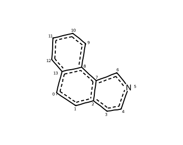 [c]1cc2ccncc2c2ccccc12